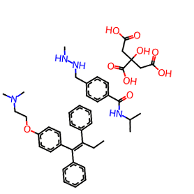 CC/C(=C(\c1ccccc1)c1ccc(OCCN(C)C)cc1)c1ccccc1.CNNCc1ccc(C(=O)NC(C)C)cc1.O=C(O)CC(O)(CC(=O)O)C(=O)O